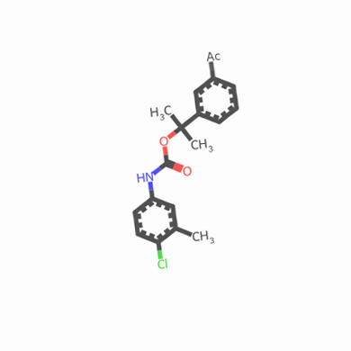 CC(=O)c1cccc(C(C)(C)OC(=O)Nc2ccc(Cl)c(C)c2)c1